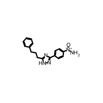 N[N+](=O)c1ccc(-c2n[nH]c([CH]CCc3ccccc3)n2)cc1